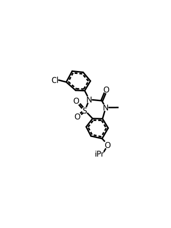 CC(C)Oc1ccc2c(c1)N(C)C(=O)N(c1cccc(Cl)c1)S2(=O)=O